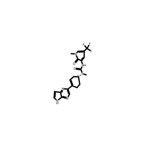 CN(C(=O)Nc1cc(C(F)(F)F)cn(C)c1=O)[C@H]1CC=C(c2cnc3[nH]ccc3n2)CC1